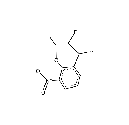 [CH2]C(CF)c1cccc([N+](=O)[O-])c1OCC